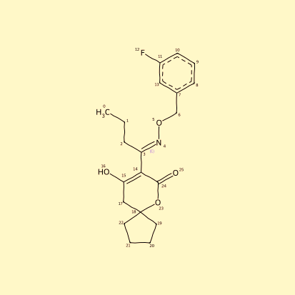 CCC/C(=N\OCc1cccc(F)c1)C1=C(O)CC2(CCCC2)OC1=O